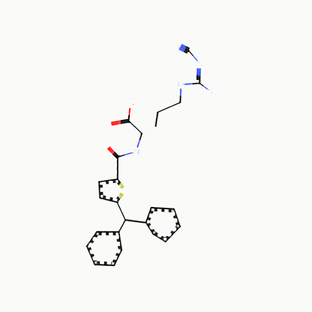 N#C/N=C(/N)NCCC[C@H](NC(=O)c1ccc(C(c2ccccc2)c2ccccc2)s1)C(=O)O